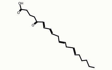 CCCCCC=CCC=CCC=CC=CC(=O)CCCC(=O)O